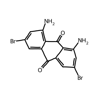 Nc1cc(Br)cc2c1C(=O)c1c(N)cc(Br)cc1C2=O